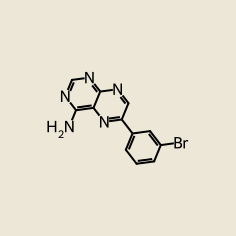 Nc1ncnc2ncc(-c3cccc(Br)c3)nc12